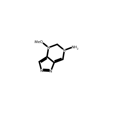 CON1CN(N)C=C2N=NC=C21